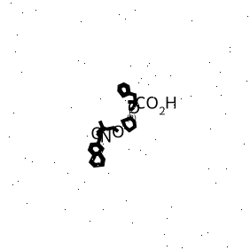 Cc1oc(-c2ccc3ccccc3c2)nc1COC1CCC[C@@H](COC(C)(Cc2ccccc2)C(=O)O)C1